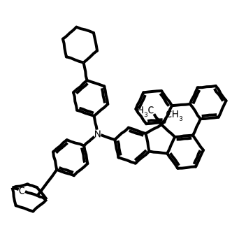 CC1(C)c2cc(N(c3ccc(C4CCCCC4)cc3)c3ccc(C4CC5CCC4CC5)cc3)ccc2-c2cccc(-c3ccccc3-c3ccccc3)c21